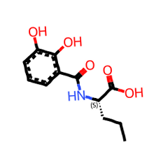 CCC[C@H](NC(=O)c1cccc(O)c1O)C(=O)O